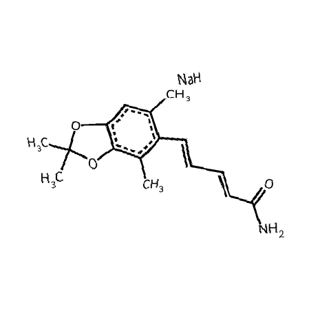 Cc1cc2c(c(C)c1C=CC=CC(N)=O)OC(C)(C)O2.[NaH]